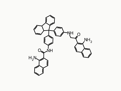 Nc1c(C(=O)CNc2ccc(C3(c4ccc(NC(=O)c5ccc6ccccc6c5N)cc4)c4ccccc4C4C=CC=CC43)cc2)ccc2ccccc12